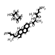 CC(C)CCC[C@@H](C)[C@H]1CCC2C3CC=C4CC(OC(=O)[C@@H](C)NC(=O)C(N)CCN)CC[C@]4(C)C3CC[C@@]21C.O=C(O)C(F)(F)F.O=C(O)C(F)(F)F